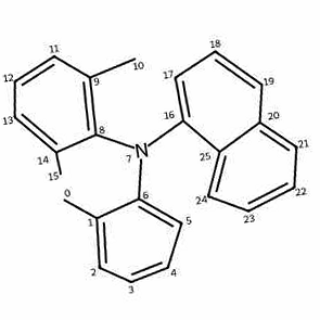 Cc1ccccc1N(c1c(C)cccc1C)c1cccc2ccccc12